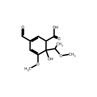 COC1=CC(C=O)=CC(C(=O)O)C1(O)C(C)OC